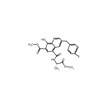 COC(=O)c1cc(C(=O)N[C@@H](C)C(=O)OC)c2cc(Cc3ccc(F)cc3)cnc2c1O